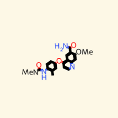 CNC(=O)Nc1ccc(Oc2ccnc3cc(OC)c(C(N)=O)cc23)cc1C